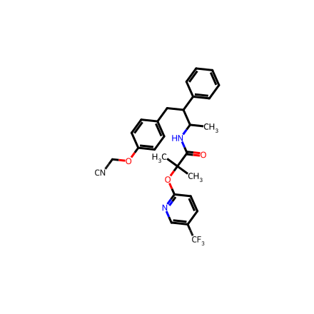 [C-]#[N+]COc1ccc(CC(c2ccccc2)C(C)NC(=O)C(C)(C)Oc2ccc(C(F)(F)F)cn2)cc1